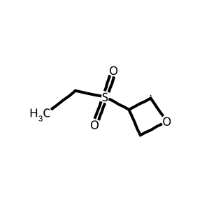 CCS(=O)(=O)C1[CH]OC1